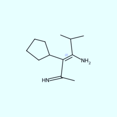 CC(=N)/C(=C(\N)C(C)C)C1CCCC1